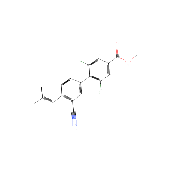 COC(=O)c1cc(Cl)c(-c2ccc(C=C(C)C)c(C#N)c2)c(Cl)c1